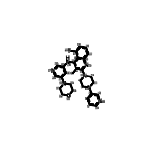 Cc1c(N2CCN(c3cccnc3)CC2)nc2cccc(F)c2c1Nc1cncc(N2CCOCC2)c1